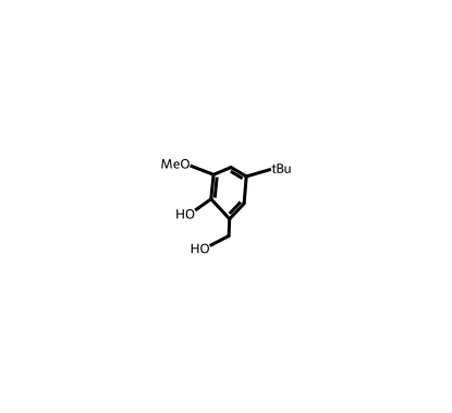 COc1cc(C(C)(C)C)cc(CO)c1O